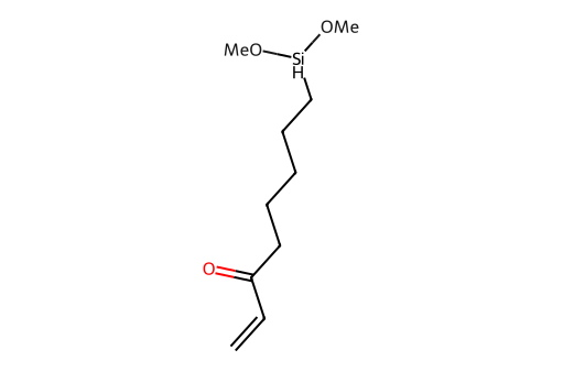 C=CC(=O)CCCCC[SiH](OC)OC